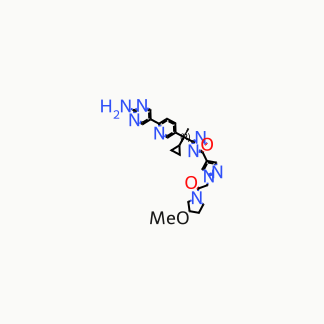 COC1CCN(C(=O)Cn2cc(-c3nc([C@@](C)(c4ccc(-c5cnc(N)nc5)nc4)C4CC4)no3)cn2)C1